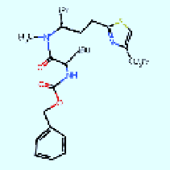 CCOC(=O)c1csc(CCC(C(C)C)N(C)C(=O)C(NC(=O)OCc2ccccc2)C(C)CC)n1